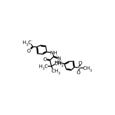 CC(=O)c1ccc(N/C(=N/Nc2ccc(S(C)(=O)=O)cc2)C(=O)C(C)(C)C)cc1